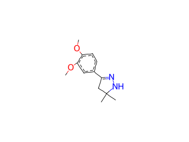 COc1ccc(C2=NNC(C)(C)C2)cc1OC